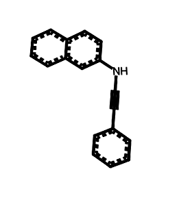 C(#Cc1ccccc1)Nc1ccc2ccccc2c1